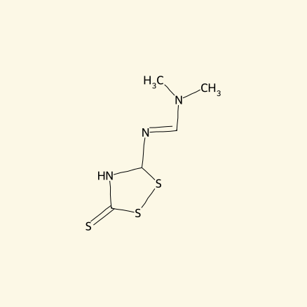 CN(C)C=NC1NC(=S)SS1